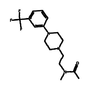 CC(=O)N(C)CCN1CCN(c2cccc(C(F)(F)F)c2)CC1